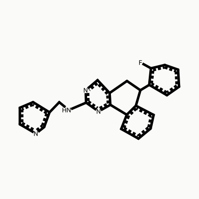 Fc1ccccc1C1Cc2cnc(NCc3cccnc3)nc2-c2ccccc21